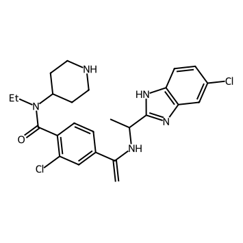 C=C(NC(C)c1nc2cc(Cl)ccc2[nH]1)c1ccc(C(=O)N(CC)C2CCNCC2)c(Cl)c1